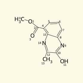 COC(=O)c1cccc2nc(O)c(C)nc12